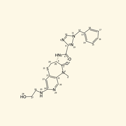 CN1C(=O)[C@@H](NC(=O)c2ncn(Cc3ccccc3)n2)CSc2cc(NCCO)ncc21